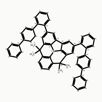 CC1(C)c2cccc3c2-n2c4c1cc(-c1ccccc1C1=CC=C(c5ccccc5)CC1)cc4c1cc(-c4ccccc4-c4ccc(-c5ccccc5)cc4)cc(c12)C3(C)C